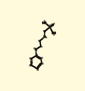 O=P(O)(O)COCCOc1ccccc1